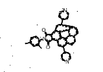 Cc1ccc(-n2c(=O)c3c4cc(-c5ccncc5)c5ccc6ccc7c(-c8ccncc8)cc(c3c2=O)c2c7c6c5c42)c(C)c1